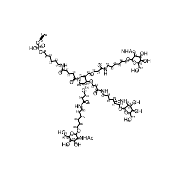 CC#COP(=O)(O)OCCCCCCNC(=O)CCCC(=O)N1C[C@@H](COCCC(=O)NCCCCCCOC2OC(CO)C(O)C(O)C2NC(C)=O)C(OCCC(=O)NCCCCCCOC2OC(CO)C(O)C(O)C2NC(C)=O)[C@H](COCCC(=O)NCCCCCCOC2OC(CO)C(O)C(O)C2NC(C)=O)C1